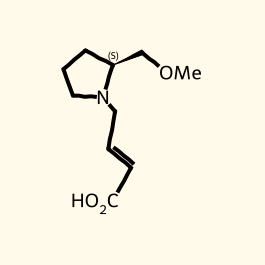 COC[C@@H]1CCCN1CC=CC(=O)O